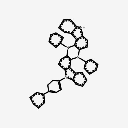 C1=C(c2ccccc2)CCC(n2c3ccccc3c3c4c(ccc32)N(c2ccccc2)c2c(ccc3[nH]c5ccccc5c23)N4c2ccccc2)=C1